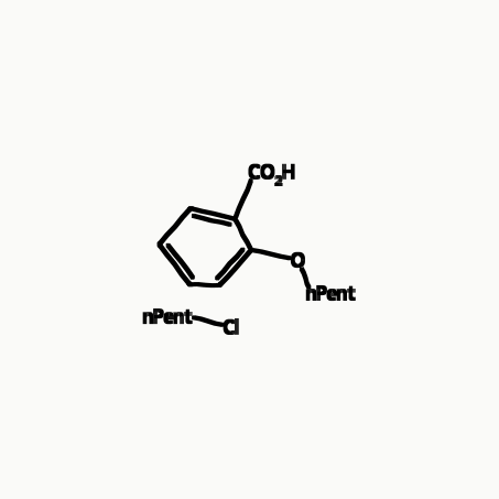 CCCCCCl.CCCCCOc1ccccc1C(=O)O